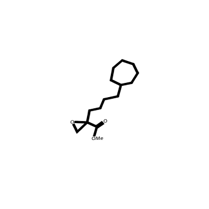 COC(=O)C1(CCCCC2CCCCCC2)CO1